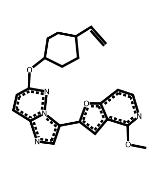 C=CC1CCC(Oc2ccc3ncc(-c4cc5c(OC)nccc5o4)n3n2)CC1